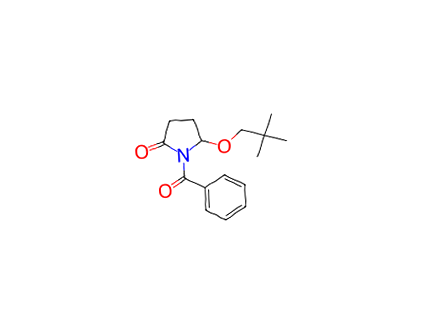 CC(C)(C)COC1CCC(=O)N1C(=O)c1ccccc1